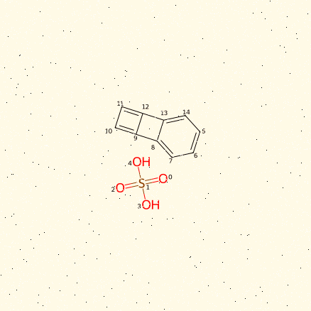 O=S(=O)(O)O.c1ccc2c3ccc-3c2c1